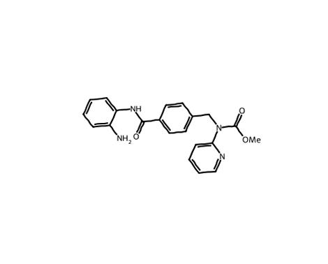 COC(=O)N(Cc1ccc(C(=O)Nc2ccccc2N)cc1)c1ccccn1